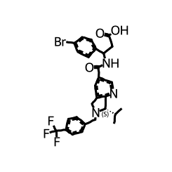 CC(C)[C@H]1c2ncc(C(=O)NC(CC(=O)O)c3ccc(Br)cc3)cc2CN1Cc1ccc(C(F)(F)F)cc1